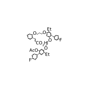 CCc1cc(-c2ccc(F)cc2)c(OCCCOc2cc(OC(C)=O)c(-c3ccc(F)cc3)cc2CC)cc1OCCCOc1ccccc1C=CC(=O)O